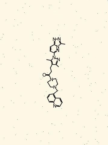 Cc1nn(-c2ccc3nnc(C)n3n2)c(C)c1CCC(=O)N1CCN(Cc2cccc3ncccc23)CC1